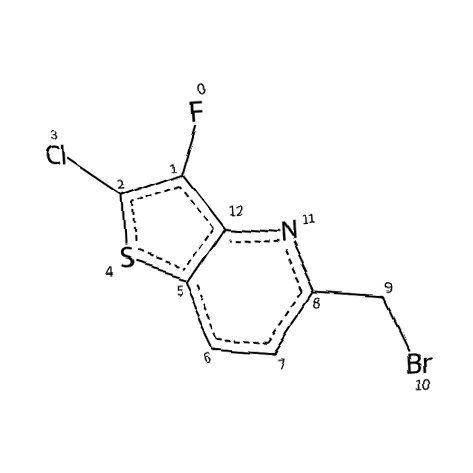 Fc1c(Cl)sc2ccc(CBr)nc12